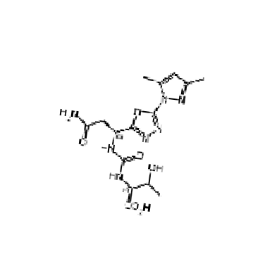 Cc1cc(C)n(-c2nnc([C@H](CC(N)=O)NC(=O)N[C@H](C(=O)O)C(C)O)o2)n1